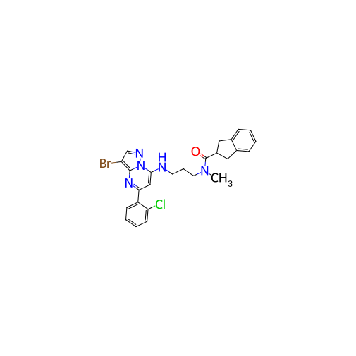 CN(CCCNc1cc(-c2ccccc2Cl)nc2c(Br)cnn12)C(=O)C1Cc2ccccc2C1